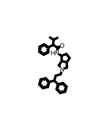 CC(C)C(C(=O)NC1CCC2CN(CCC(c3ccccc3)c3ccccc3)CC21)c1ccccc1